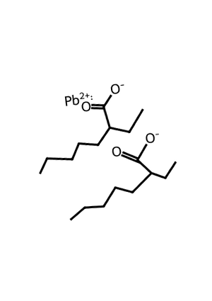 CCCCCC(CC)C(=O)[O-].CCCCCC(CC)C(=O)[O-].[Pb+2]